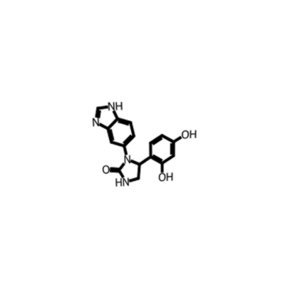 O=C1NCC(c2ccc(O)cc2O)N1c1ccc2[nH]cnc2c1